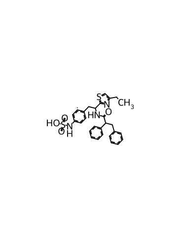 CCc1csc(C(Cc2[c]cc(NS(=O)(=O)O)cc2)NC(=O)C(Cc2ccccc2)c2ccccc2)n1